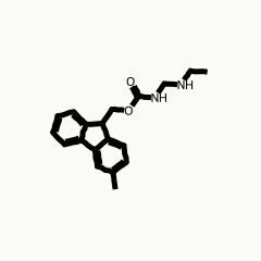 CCNCNC(=O)OCC1c2ccccc2-c2cc(C)ccc21